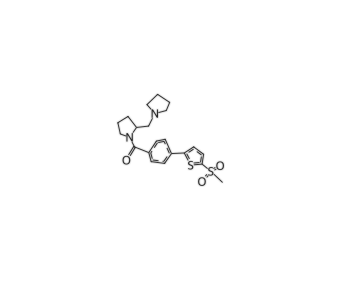 CS(=O)(=O)c1ccc(-c2ccc(C(=O)N3CCCC3CN3CCCC3)cc2)s1